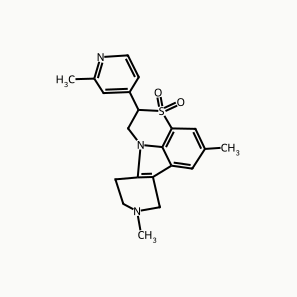 Cc1cc2c3c(c1)c1c(n3CC(c3ccnc(C)c3)S2(=O)=O)CCN(C)C1